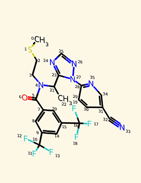 CSCCN(C(=O)c1cc(C(F)(F)F)cc(C(F)(F)F)c1)C(C)c1ncnn1-c1ccc(C#N)cn1